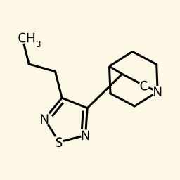 CCCc1nsnc1C1CN2CCC1CC2